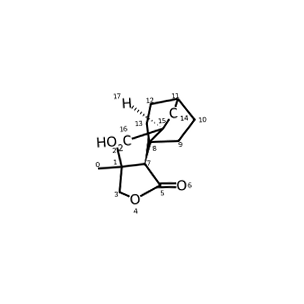 CC1(C)COC(=O)[C@@H]1C12CCC(CC1)C[C@@H]2C(=O)O